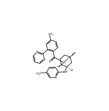 Cc1ccc(N[C@@H]2C[C@H]3CC[C@@H]2N(C(=O)c2ncc(C)cc2-c2ncccn2)C3)nc1